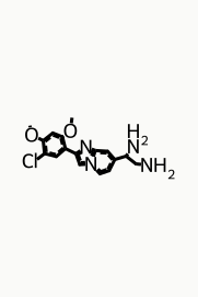 COc1cc(OC)c(-c2cn3ccc(C(N)CN)cc3n2)cc1Cl